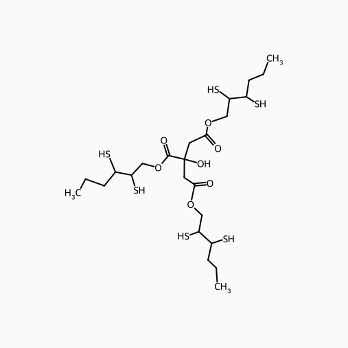 CCCC(S)C(S)COC(=O)CC(O)(CC(=O)OCC(S)C(S)CCC)C(=O)OCC(S)C(S)CCC